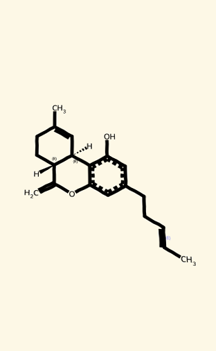 C=C1Oc2cc(CC/C=C/C)cc(O)c2[C@@H]2C=C(C)CC[C@@H]12